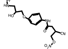 CC(C)NCC(O)COc1ccc(NC(=O)CC(C#N)CO[N+](=O)[O-])cc1